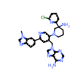 Cn1cnc2ccc(-c3cc(Cn4cnc5c(N)ncnc54)c(N4CCCC(N)(c5cccc(Cl)n5)C4)cn3)cc21